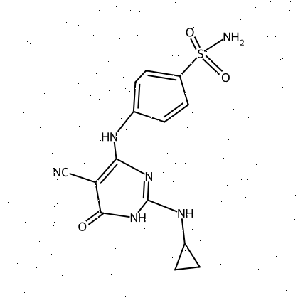 N#Cc1c(Nc2ccc(S(N)(=O)=O)cc2)nc(NC2CC2)[nH]c1=O